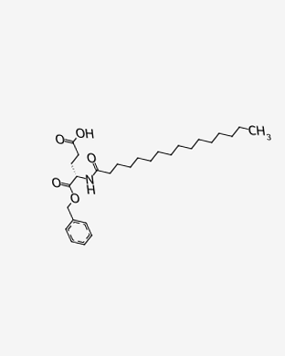 CCCCCCCCCCCCCCCC(=O)N[C@@H](CCC(=O)O)C(=O)OCc1ccccc1